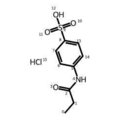 CCC(=O)Nc1ccc(S(=O)(=O)O)cc1.Cl